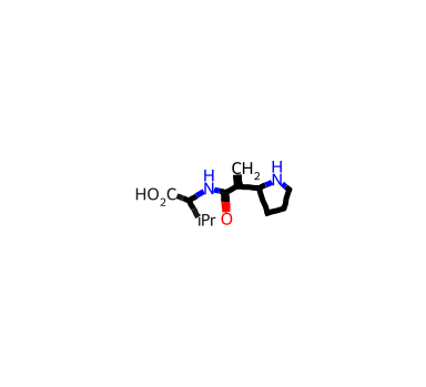 C=C(C(=O)NC(C(=O)O)C(C)C)C1CCCN1